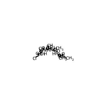 [CH2]CCNC(=O)c1cc(NC(=O)c2cc(NC(=O)c3cc(NC(=O)c4cc(NC(=O)CCCl)cn4C)cn3C)cn2C)cn1C